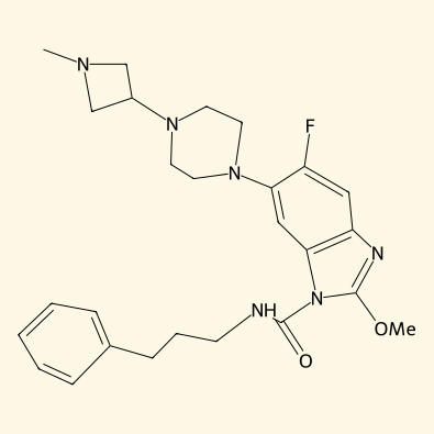 COc1nc2cc(F)c(N3CCN(C4CN(C)C4)CC3)cc2n1C(=O)NCCCc1ccccc1